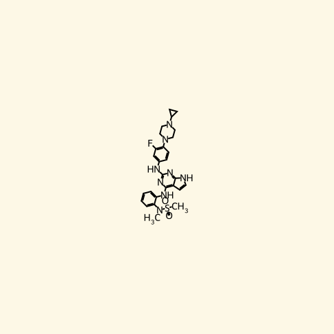 CN(c1ccccc1Nc1nc(Nc2ccc(N3CCN(C4CC4)CC3)c(F)c2)nc2[nH]ccc12)S(C)(=O)=O